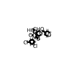 CCN1C(=O)N(c2cc(Cl)cc(Cl)c2)C(=O)C12CCN(CC1CCOCC1)CC2.O=CO